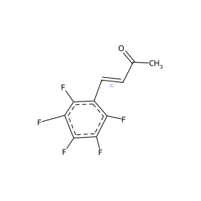 CC(=O)/C=C/c1c(F)c(F)c(F)c(F)c1F